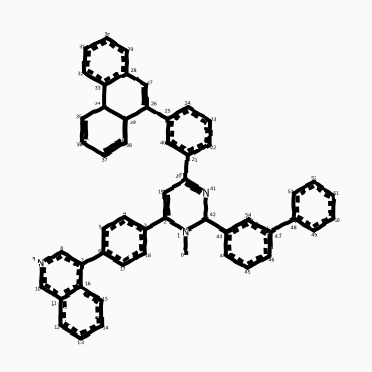 CN1C(c2ccc(-c3cncc4ccccc34)cc2)=CC(c2cccc(C3=Cc4ccccc4C4C=CC=CC34)c2)=NC1c1cccc(-c2ccccc2)c1